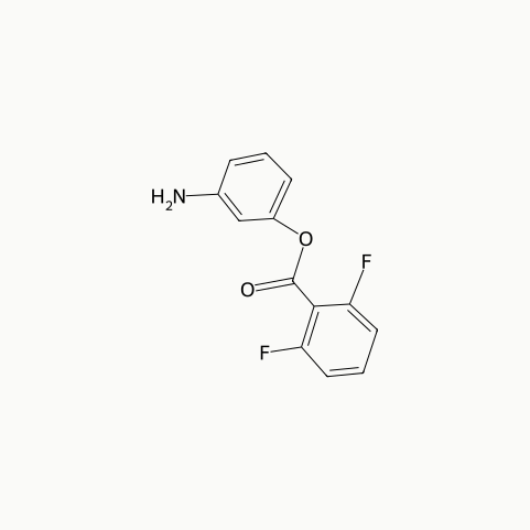 Nc1cccc(OC(=O)c2c(F)cccc2F)c1